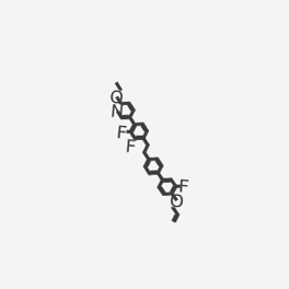 C=CCOc1ccc(-c2ccc(CCc3ccc(-c4ccc(OCC)nc4)c(F)c3F)cc2)cc1F